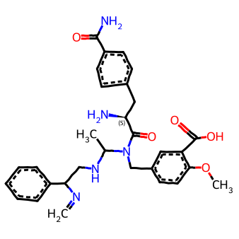 C=NC(CNC(C)N(Cc1ccc(OC)c(C(=O)O)c1)C(=O)[C@@H](N)Cc1ccc(C(N)=O)cc1)c1ccccc1